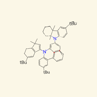 Cc1cc(N(C2=CC(C)(C)C3=C2C=C(C(C)(C)C)CC3)c2ccc(C(C)(C)C)cc2C2=CCCC=C2)cc(N2c3ccc(C(C)(C)C)cc3C3(C)CCCCC23C)c1